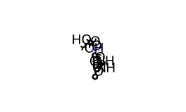 CCC(NC(=O)OCc1ccccc1)C(=O)NS(=O)(=O)c1cc(/C=C/C(=O)c2c(OC)cc(O)c(CC=C(C)C)c2O)ccc1Cl